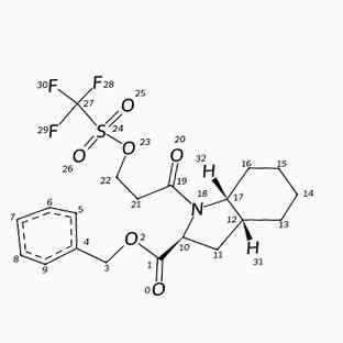 O=C(OCc1ccccc1)[C@@H]1C[C@H]2CCCC[C@H]2N1C(=O)CCOS(=O)(=O)C(F)(F)F